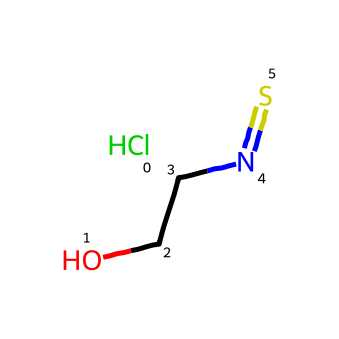 Cl.OCCN=S